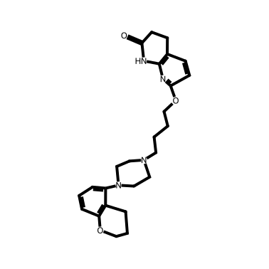 O=C1CCc2ccc(OCCCCN3CCN(c4cccc5c4CCCO5)CC3)nc2N1